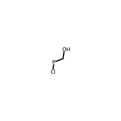 OC[P]Cl